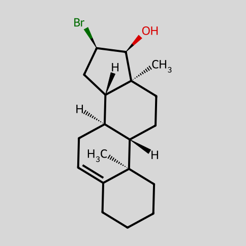 C[C@]12CC[C@H]3[C@@H](CC=C4CCCC[C@@]43C)[C@@H]1C[C@@H](Br)[C@H]2O